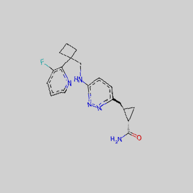 NC(=O)[C@H]1C[C@@H]1c1ccc(NCC2(c3ncccc3F)CCC2)nn1